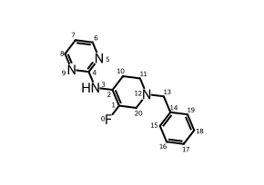 FC1=C(Nc2ncccn2)CCN(Cc2ccccc2)C1